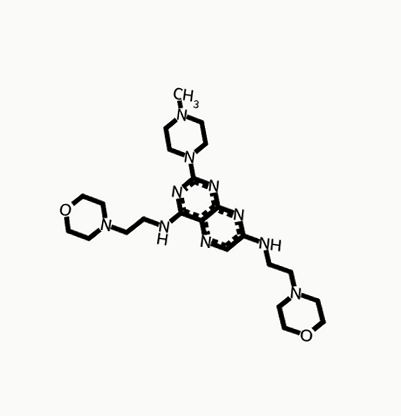 CN1CCN(c2nc(NCCN3CCOCC3)c3ncc(NCCN4CCOCC4)nc3n2)CC1